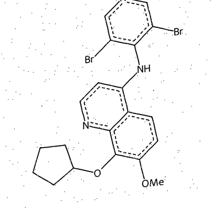 COc1ccc2c(Nc3c(Br)cncc3Br)ccnc2c1OC1CCCC1